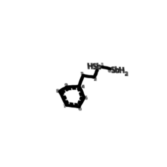 [SbH2][SbH][CH2]Cc1ccccc1